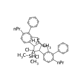 CCCc1ccc2c(c1-c1ccccc1)C=C(C)[CH]2[Zr]([Cl])([Cl])([CH]1C(C)=Cc2c1ccc(CCC)c2-c1ccccc1)[SiH](C)C